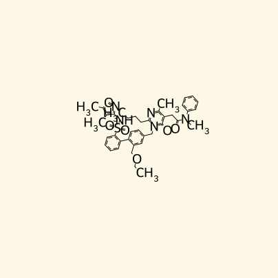 CCCCc1nc(C)c(CC(=O)N(C)c2ccccc2)c(=O)n1Cc1ccc(-c2ccccc2S(=O)(=O)Nc2noc(C)c2C)c(COCC)c1